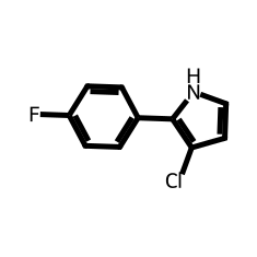 Fc1ccc(-c2[nH]ccc2Cl)cc1